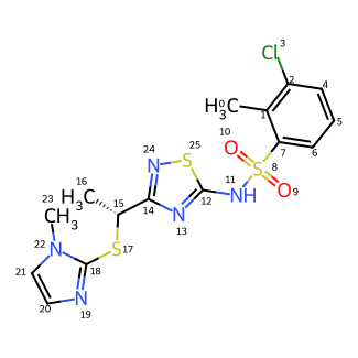 Cc1c(Cl)cccc1S(=O)(=O)Nc1nc([C@@H](C)Sc2nccn2C)ns1